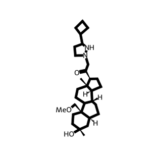 COC[C@]12CC[C@@](C)(O)C[C@@H]1CC[C@@H]1C2CC[C@]2(C)[C@@H](C(=O)CN3CCC(C4CCC4)N3)CC[C@@H]12